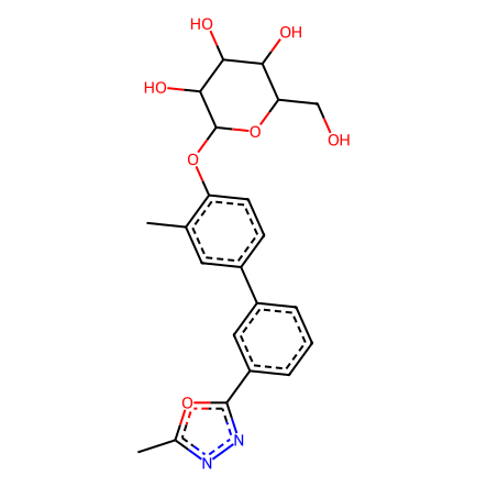 Cc1nnc(-c2cccc(-c3ccc(OC4OC(CO)C(O)C(O)C4O)c(C)c3)c2)o1